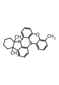 Cc1cccc2c1Oc1cccc3c1B2c1cccc2c1N3C1(C)CCCCC21C